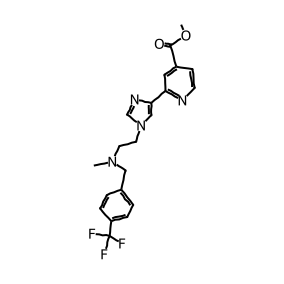 COC(=O)c1ccnc(-c2cn(CCN(C)Cc3ccc(C(F)(F)F)cc3)cn2)c1